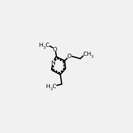 CCOc1cc(CC)cnc1OC